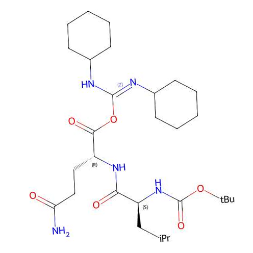 CC(C)C[C@H](NC(=O)OC(C)(C)C)C(=O)N[C@H](CCC(N)=O)C(=O)O/C(=N\C1CCCCC1)NC1CCCCC1